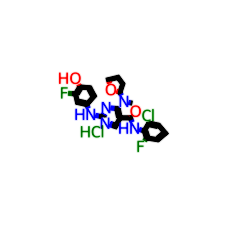 CN(c1nc(Nc2ccc(O)c(F)c2)ncc1C(=O)Nc1c(F)cccc1Cl)C1CCCO1.Cl